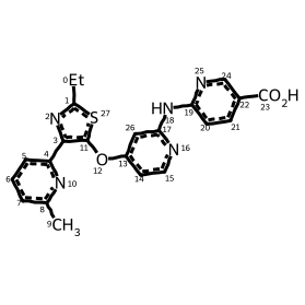 CCc1nc(-c2cccc(C)n2)c(Oc2ccnc(Nc3ccc(C(=O)O)cn3)c2)s1